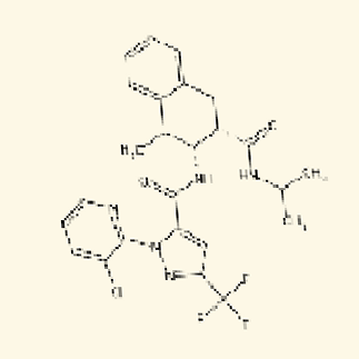 CC(C)NC(=O)[C@H]1Cc2ccccc2C(C)[C@H]1NC(=O)c1cc(C(F)(F)F)nn1-c1ncccc1Cl